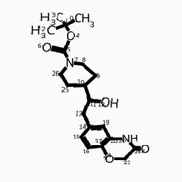 CC(C)(C)OC(=O)N1CCC(C(O)Cc2ccc3c(c2)NC(=O)CO3)CC1